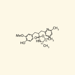 COc1cc(CC(Cc2cncc(C)n2)P2(=O)N[C@@H](C)[C@H](C)O2)ccc1O